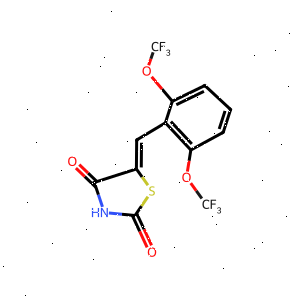 O=C1NC(=O)/C(=C/c2c(OC(F)(F)F)cccc2OC(F)(F)F)S1